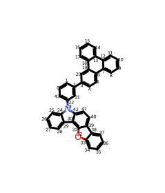 c1cc(-c2ccc3c4ccccc4c4ccccc4c3c2)cc(-n2c3ccccc3c3c4oc5ccccc5c4ccc32)c1